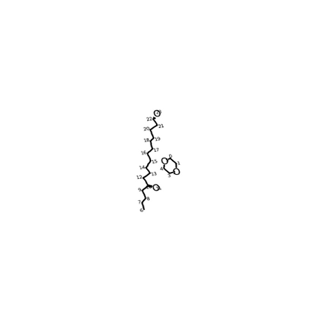 C1COCCO1.CCCCC(=O)CCCCCCCCCCC=O